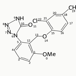 COc1cccc(-n2nn[nH]c2=O)c1COc1ccc(C)cc1Cl